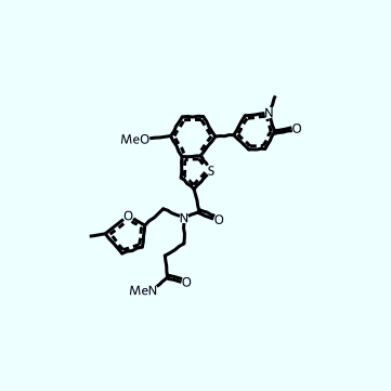 CNC(=O)CCN(Cc1ccc(C)o1)C(=O)c1cc2c(OC)ccc(-c3ccc(=O)n(C)c3)c2s1